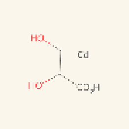 O=C(O)C(O)CO.[Cd]